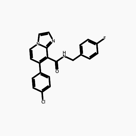 O=C(NCc1ccc(F)cc1)c1c(-c2ccc(Cl)cc2)ccn2ccnc12